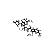 COc1cc(C(=O)NCC(O)(c2cc3c(c(-c4ccc(F)cc4)n2)OC[C@]3(C)C(N)=O)C(F)(F)F)cc2cc(F)c(CO)nc12